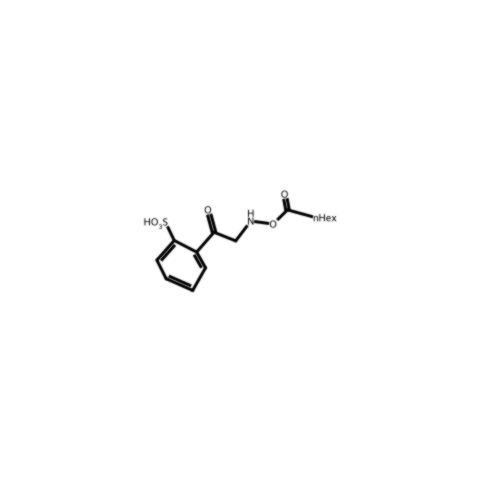 CCCCCCC(=O)ONCC(=O)c1ccccc1S(=O)(=O)O